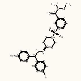 CON(C)C(=O)c1cccc(S(=O)(=O)N2CCC(=NOC(c3ccc(F)cc3)c3ccc(F)cc3)CC2)c1